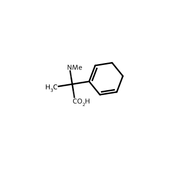 CNC(C)(C(=O)O)C1=CCCC=C1